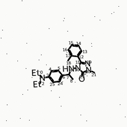 CCN(CC)c1ccc(C(C)Nn2c(-c3ccccc3C)nn(C)c2=O)cc1